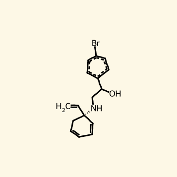 C=C[C@@]1(NCC(O)c2ccc(Br)cc2)C=CC=CC1